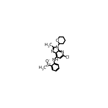 Cc1nc2c(Nc3ccccc3[S+](C)[O-])cc(Cl)nc2n1C1CCCCO1